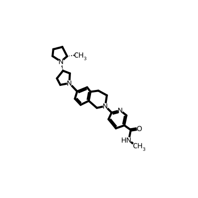 CNC(=O)c1ccc(N2CCc3cc(N4CC[C@H](N5CCC[C@@H]5C)C4)ccc3C2)nc1